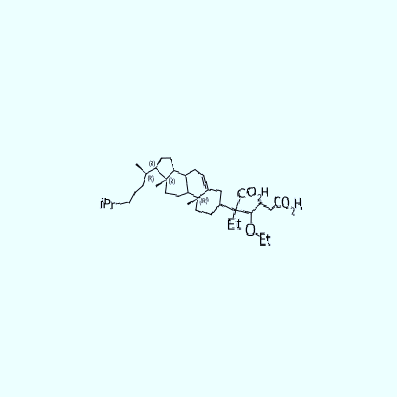 CCOC(CCC(=O)O)C(CC)(C(=O)O)C1CC[C@@]2(C)C(=CCC3C2CC[C@@]2(C)C3CC[C@@H]2[C@H](C)CCCC(C)C)C1